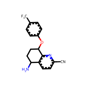 N#Cc1ccc2c(n1)C(Oc1ccc(C(F)(F)F)cc1)CCC2N